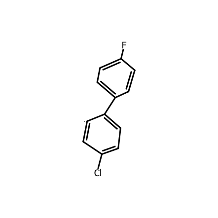 Fc1ccc(-c2[c]cc(Cl)cc2)cc1